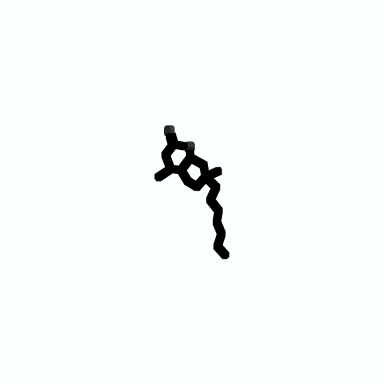 CCCCCCCC1(C)CCC2C(C)CC(=O)OC2C1